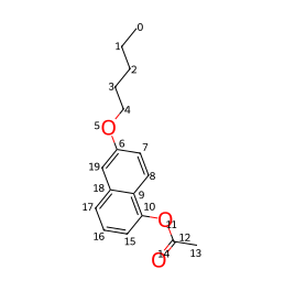 CCCCCOc1ccc2c(OC(C)=O)cccc2c1